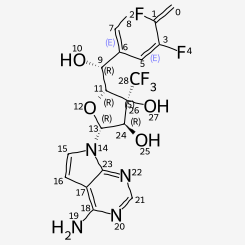 C=C(F)/C(F)=C\C(=C/C)[C@@H](O)[C@H]1O[C@@H](n2ccc3c(N)ncnc32)[C@H](O)[C@@]1(O)C(F)(F)F